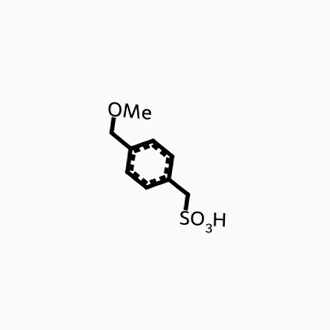 COCc1ccc(CS(=O)(=O)O)cc1